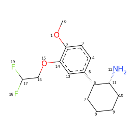 COc1ccc([C@H]2CCCC[C@H]2N)cc1OCC(F)F